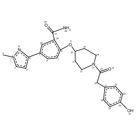 Cn1ccc(-c2ccc(OC3CCN(C(=O)Cc4ccc(O)cc4)CC3)c(C(N)=O)c2)n1